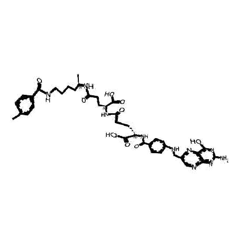 Cc1ccc(C(=O)NCCCC[C@@H](C)NC(=O)CC[C@H](NC(=O)CC[C@H](NC(=O)c2ccc(NCc3cnc4nc(N)nc(O)c4n3)cc2)C(=O)O)C(=O)O)cc1